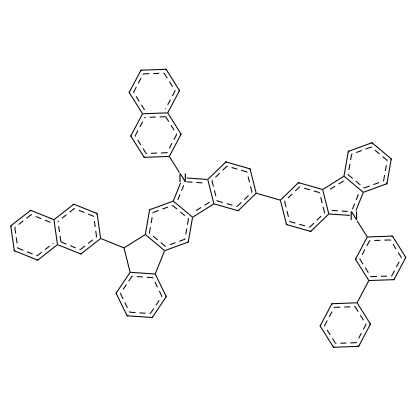 c1ccc(-c2cccc(-n3c4ccccc4c4cc(-c5ccc6c(c5)c5cc7c(cc5n6-c5ccc6ccccc6c5)C(c5ccc6ccccc6c5)c5ccccc5-7)ccc43)c2)cc1